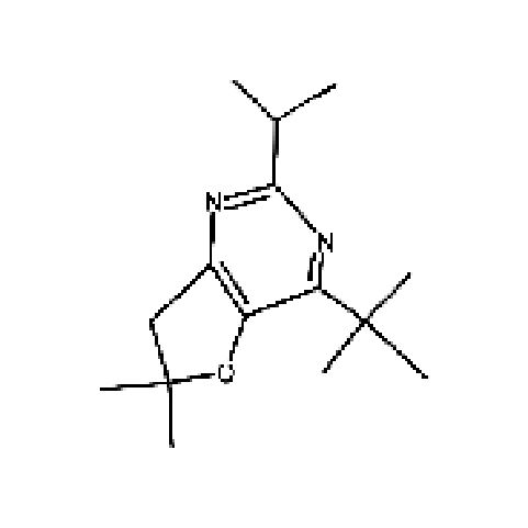 CC(C)c1nc2c(c(C(C)(C)C)n1)OC(C)(C)C2